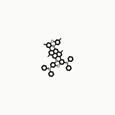 Cc1ccc2c(c1)Oc1cc(C)cc3c1B2c1cc2c(C)cc4c5c(cc6c(C)cc-3c1c6c25)B1c2ccc(N(c3ccccc3)c3ccccc3)cc2Oc2cc(N(c3ccccc3)c3ccccc3)cc-4c21